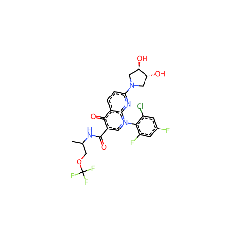 CC(COC(F)(F)F)NC(=O)c1cn(-c2c(F)cc(F)cc2Cl)c2nc(N3C[C@@H](O)[C@H](O)C3)ccc2c1=O